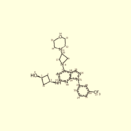 O[C@H]1C[C@@H](Nc2nc(N3CC(N4CCOCC4)C3)c3cnn(-c4cccc(C(F)(F)F)c4)c3n2)C1